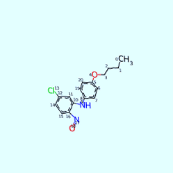 CCCCOc1ccc(Nc2cc(Cl)ccc2N=O)cc1